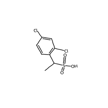 CC(c1ccc(Cl)cc1Cl)S(=O)(=O)O